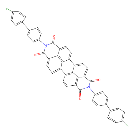 O=C1c2ccc3c4ccc5c6c(ccc(c7ccc(c2c37)C(=O)N1c1ccc(-c2ccc(F)cc2)cc1)c64)C(=O)N(c1ccc(-c2ccc(F)cc2)cc1)C5=O